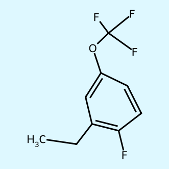 CCc1cc(OC(F)(F)F)ccc1F